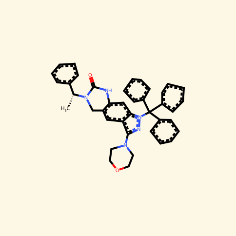 C[C@H](c1ccccc1)N1Cc2cc3c(N4CCOCC4)nn(C(c4ccccc4)(c4ccccc4)c4ccccc4)c3cc2NC1=O